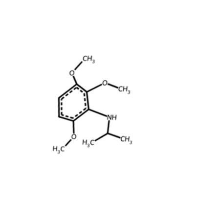 COc1ccc(OC)c(OC)c1NC(C)C